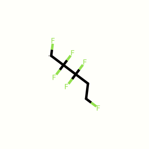 F[CH]C(F)(F)C(F)(F)CCF